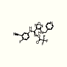 N#Cc1cc(NC(=NOC(=O)C(F)(F)F)c2nonc2NCc2ccncc2)ccc1F